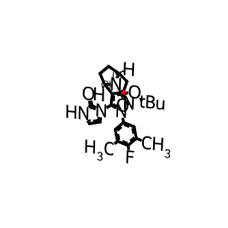 Cc1cc(-n2nc3c(c2-n2cc[nH]c2=O)[C@H]2CC[C@@H](C3)N2C(=O)OC(C)(C)C)cc(C)c1F